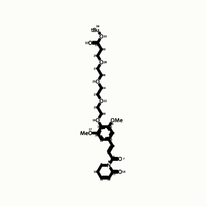 COc1cc(/C=C/C(=O)N2CCC=CC2=O)cc(OC)c1OCCOCCOCCOCCC(=O)OC(C)(C)C